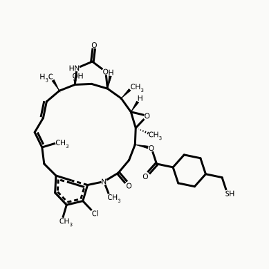 C/C1=C\C=C\[C@@H](C)[C@@]2(O)C[C@H](OC(=O)N2)[C@@H](C)[C@@H]2O[C@@]2(C)[C@@H](OC(=O)C2CCC(CS)CC2)CC(=O)N(C)c2cc(cc(C)c2Cl)C1